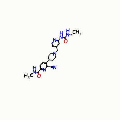 CCNC(=O)Nc1cc(CN2CCC(c3ccc(C(=O)NC)nc3C#N)CC2)ccn1